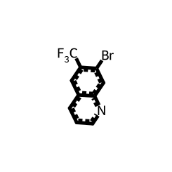 FC(F)(F)c1cc2cccnc2cc1Br